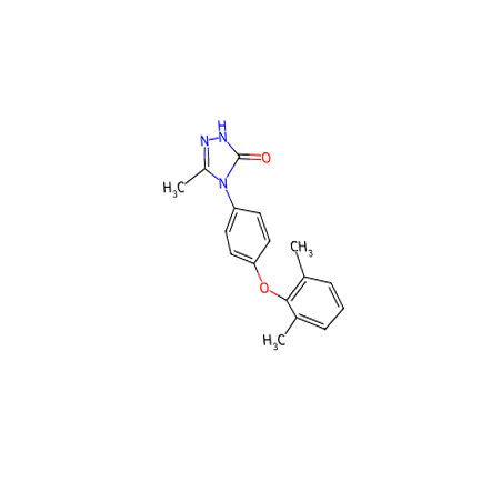 Cc1cccc(C)c1Oc1ccc(-n2c(C)n[nH]c2=O)cc1